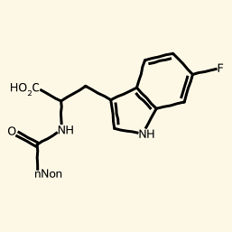 CCCCCCCCCC(=O)NC(Cc1c[nH]c2cc(F)ccc12)C(=O)O